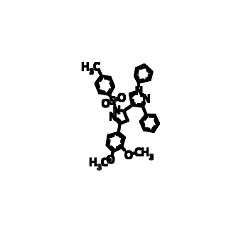 COc1ccc(C2=NN(S(=O)(=O)c3ccc(C)cc3)C(c3cn(-c4ccccc4)nc3-c3ccccc3)C2)cc1OC